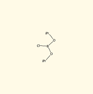 CC(C)OB(Cl)OC(C)C